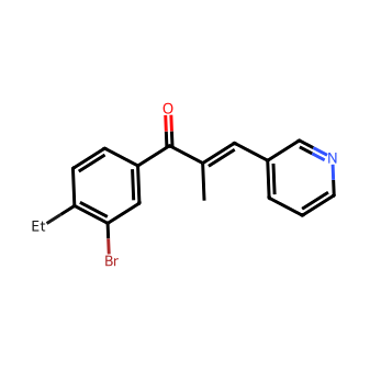 CCc1ccc(C(=O)/C(C)=C/c2cccnc2)cc1Br